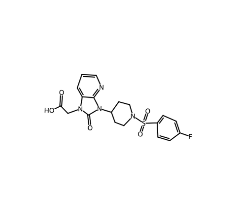 O=C(O)Cn1c(=O)n(C2CCN(S(=O)(=O)c3ccc(F)cc3)CC2)c2ncccc21